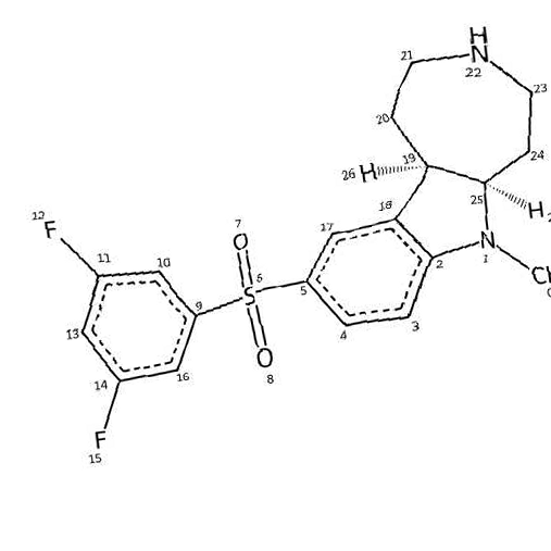 CN1c2ccc(S(=O)(=O)c3cc(F)cc(F)c3)cc2[C@H]2CCNCC[C@H]21